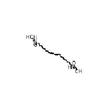 C#CCNC(=O)CCCCCCCCC#CC#CCCCCCCCCC(=O)NCC#C